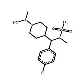 CB(O)N1CCC(C(c2ccc(Cl)cc2)N(C)S(=O)(=O)C(F)(F)F)CC1